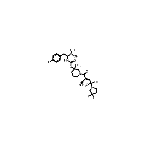 CC1(OC(=O)NC(Cc2ccc(F)cc2)B(O)O)CCCN(C(=O)C(C#N)=CC(C)(C)N2CCC(F)(F)C2)C1